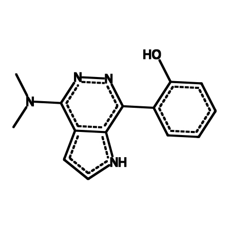 CN(C)c1nnc(-c2ccccc2O)c2[nH]ccc12